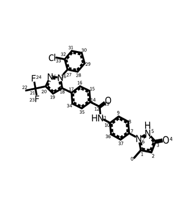 Cc1cc(=O)[nH]n1-c1ccc(NC(=O)c2ccc(-c3cc(C(C)(F)F)nn3-c3ccccc3Cl)cc2)cc1